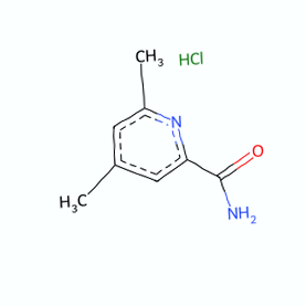 Cc1cc(C)nc(C(N)=O)c1.Cl